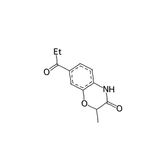 CCC(=O)c1ccc2c(c1)OC(C)C(=O)N2